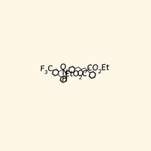 CCOC(=O)C(CC(=O)Cc1ccc(NC(=O)c2cc(C(F)(F)F)ccc2-c2ccccc2)cc1)(C(=O)OCC)c1ccccc1